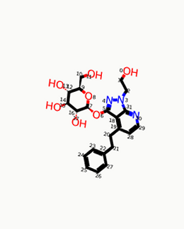 OCCn1nc(O[C@@H]2O[C@H](CO)[C@@H](O)[C@H](O)[C@H]2O)c2c(CCc3ccccc3)ccnc21